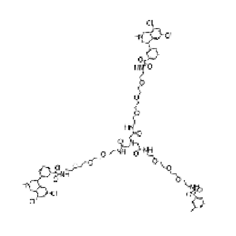 Cc1cccc(S(=O)(=O)NCCOCCOCCOCCNC(=O)CN(CC(=O)NCCOCCOCCOCCNS(=O)(=O)c2cccc(C3CN(C)Cc4c(Cl)cc(Cl)cc43)c2)CC(=O)NCCOCCOCCOCCNS(=O)(=O)c2cccc(C3CN(C)Cc4c(Cl)cc(Cl)cc43)c2)c1